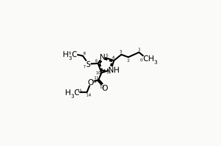 CCCCc1nc(SCC)c(C(=O)OCC)[nH]1